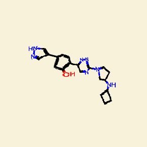 Oc1cc(-c2cn[nH]c2)ccc1-c1cnc(N2CCC(NC3CCC3)C2)nn1